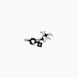 CC(C)(C)OC(=O)NC1(c2ccc(Br)cn2)CCC1